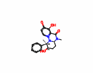 CN1C(=O)c2c(O)c(=O)ccn2N2C1CC[C@@H](O)[C@@]2(C)c1ccccc1